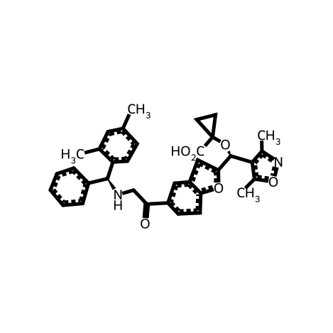 Cc1ccc([C@@H](NCC(=O)c2ccc3oc([C@H](OC4(C(=O)O)CC4)c4c(C)noc4C)cc3c2)c2ccccc2)c(C)c1